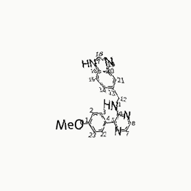 COc1ccc(-c2nccnc2NCc2ccc3[nH]cnc3c2)cc1